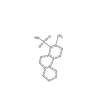 Cc1ccc2c(ccc3ccccc32)c1S(=O)(=O)O